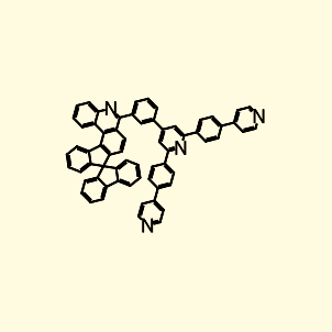 c1cc(-c2cc(-c3ccc(-c4ccncc4)cc3)nc(-c3ccc(-c4ccncc4)cc3)c2)cc(-c2nc3ccccc3c3c4c(ccc23)C2(c3ccccc3-c3ccccc32)c2ccccc2-4)c1